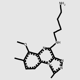 COc1c(C)ccc2c1nc(NCCCCN)c1nnc(C)n12